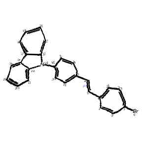 Brc1ccc(/C=C/c2ccc(-n3c4ccccc4c4ccccc43)cc2)cc1